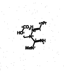 CCCC=NN(C)C(=N)NC.O=C(O)O